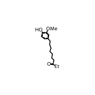 CCC(=O)CCCCCCCc1ccc(O)c(OC)c1